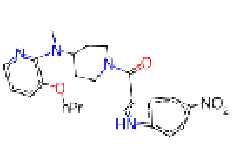 CCCOc1cccnc1N(C)C1CCN(C(=O)c2c[nH]c3ccc([N+](=O)[O-])cc23)CC1